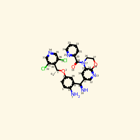 C[C@@H](Oc1ccc(N)c(C(=N)c2cnc3c(c2)N(C(=O)c2ccccn2)CCO3)c1)c1c(Cl)cncc1Cl